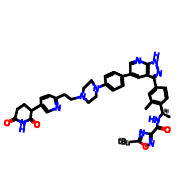 Cc1cc(-c2n[nH]c3ncc(-c4ccc(N5CCN(CCc6ccc(C7CCC(=O)NC7=O)cn6)CC5)cc4)cc23)ccc1[C@@H](C)NC(=O)c1noc(C(C)(C)C)n1